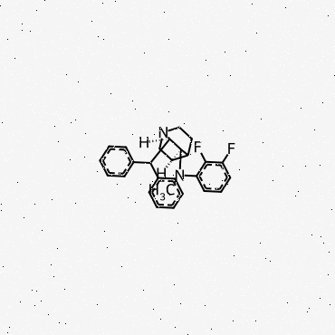 CN(c1cccc(F)c1F)[C@@H]1C2CCN(CC2)[C@@H]1C(c1ccccc1)c1ccccc1